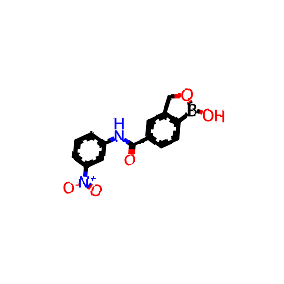 O=C(Nc1cccc([N+](=O)[O-])c1)c1ccc2c(c1)COB2O